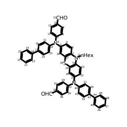 CCCCCCN1c2ccc(N(c3ccc(C=O)cc3)c3ccc(-c4ccccc4)cc3)cc2Sc2cc(N(c3ccc(C=O)cc3)c3ccc(-c4ccccc4)cc3)ccc21